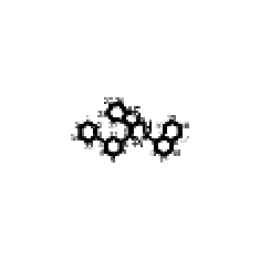 c1ccc(-c2cccc(-c3nc(-c4cccc5ccccc45)nc4sc5ccccc5c34)c2)cc1